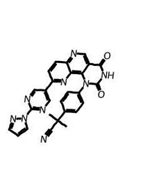 CC(C)(C#N)c1ccc(-n2c(=O)[nH]c(=O)c3cnc4ccc(-c5cnc(-n6cccn6)nc5)nc4c32)cc1